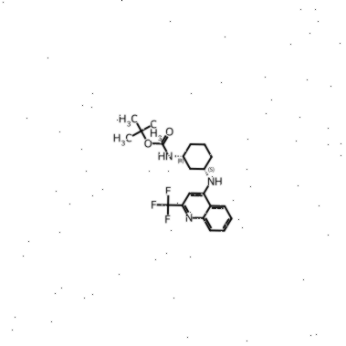 CC(C)(C)OC(=O)N[C@@H]1CCC[C@H](Nc2cc(C(F)(F)F)nc3ccccc23)C1